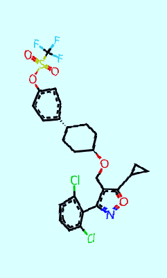 O=S(=O)(Oc1ccc([C@H]2CC[C@H](OCc3c(-c4c(Cl)cccc4Cl)noc3C3CC3)CC2)cc1)C(F)(F)F